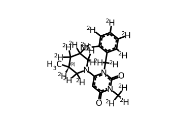 [2H]c1c([2H])c([2H])c(C([2H])([2H])n2c(N3C([2H])([2H])C([2H])([2H])C([2H])([2H])[C@@]([2H])(C)C3([2H])[2H])cc(=O)n(C([2H])([2H])[2H])c2=O)c(C#N)c1[2H]